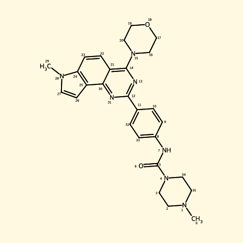 CN1CCN(C(=O)Nc2ccc(-c3nc(N4CCOCC4)c4ccc5c(ccn5C)c4n3)cc2)CC1